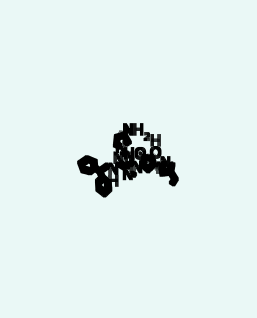 CCc1cnn([C@H]2C[C@H](n3cnc4c(NCC(c5ccccc5)c5ccccc5)nc(N5CC[C@@H](N)C5)nc43)[C@H](O)[C@H]2O)c1